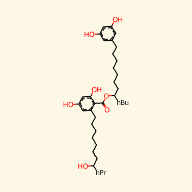 CCCCC(CCCCCCCc1cc(O)cc(O)c1)OC(=O)c1c(O)cc(O)cc1CCCCCCCC(O)CCC